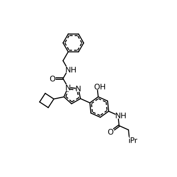 CC(C)CC(=O)Nc1ccc(-c2cc(C3CCC3)n(C(=O)NCc3ccccc3)n2)c(O)c1